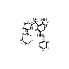 Nc1ncc(NCc2ccccc2)cc1C(=O)c1cccc(N2CCCNCC2)n1